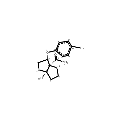 NC(=O)[C@]12OC[CH][C@H]1OC[C@@H]2Oc1ccc(F)cc1